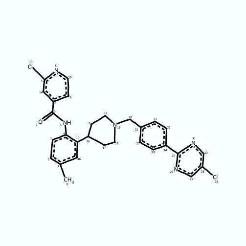 Cc1ccc(NC(=O)c2ccnc(Cl)c2)c(C2CCN(Cc3ccc(-c4ncc(Cl)cn4)cc3)CC2)c1